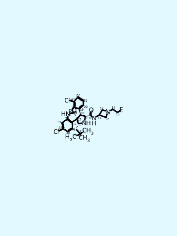 CC(C)(C)C[C@H]1N[C@@H](C(=O)NC2CN(CCF)C2)[C@H](c2cccc(Cl)c2F)[C@@]12C(=O)Nc1cc(Cl)ccc12